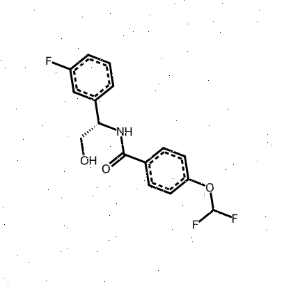 O=C(N[C@H](CO)c1cccc(F)c1)c1ccc(OC(F)F)cc1